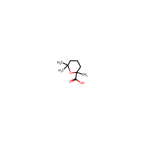 CC1(C)CCCC(C)(C(=O)O)O1